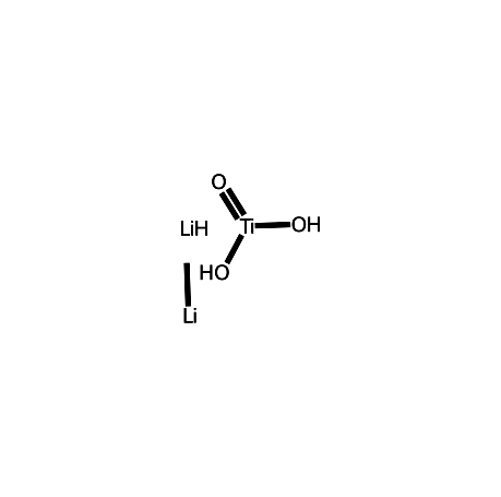 [LiH].[Li][CH3].[O]=[Ti]([OH])[OH]